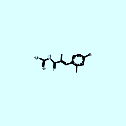 C/C(=C\c1ccc(Br)cc1C)C(=O)NC(=N)N